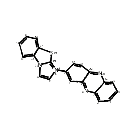 c1ccc2nc3cc(-[n+]4ccn5c6ccccc6sc54)ccc3nc2c1